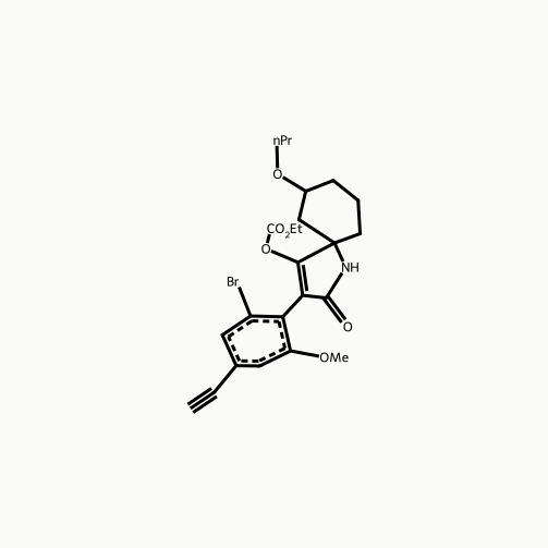 C#Cc1cc(Br)c(C2=C(OC(=O)OCC)C3(CCCC(OCCC)C3)NC2=O)c(OC)c1